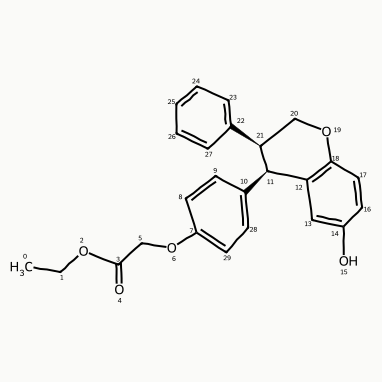 CCOC(=O)COc1ccc([C@@H]2c3cc(O)ccc3OC[C@@H]2c2ccccc2)cc1